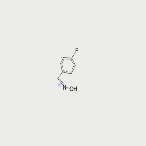 O/N=C\c1c[c]c(F)cc1